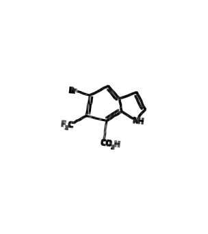 O=C(O)c1c(C(F)(F)F)c(Br)cc2cc[nH]c12